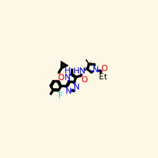 CCC(=O)N1C[C@H](C)[C@H](NC(=O)c2c(C)[nH]c3c(-c4c(OCC5CC5)ccc(C)c4F)ncnc23)C1